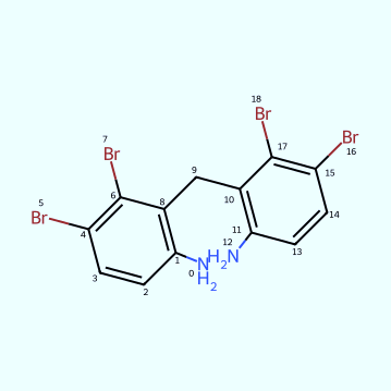 Nc1ccc(Br)c(Br)c1Cc1c(N)ccc(Br)c1Br